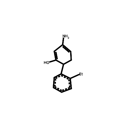 CCc1ccccc1C1CC=C(N)C=C1O